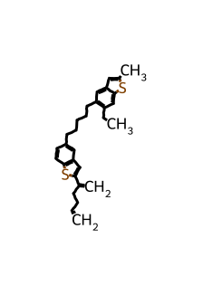 C=CCCC(=C)c1cc2cc(CCCCCc3cc4cc(C)sc4cc3CC)ccc2s1